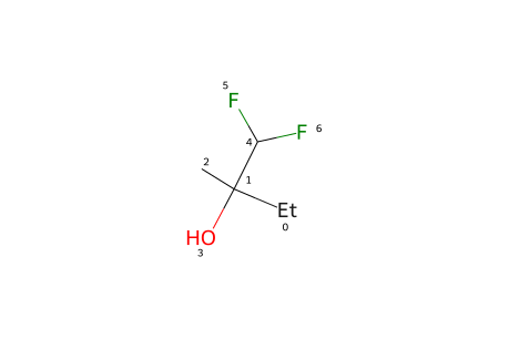 CCC(C)(O)C(F)F